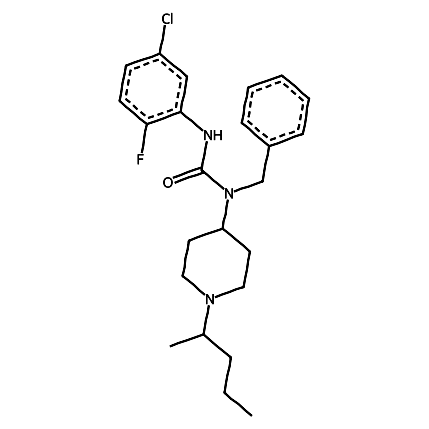 CCCC(C)N1CCC(N(Cc2ccccc2)C(=O)Nc2cc(Cl)ccc2F)CC1